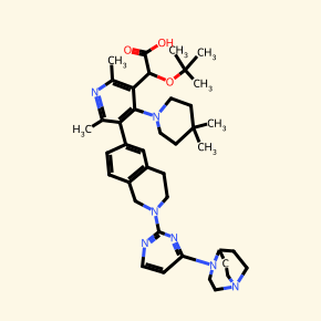 Cc1nc(C)c(C(OC(C)(C)C)C(=O)O)c(N2CCC(C)(C)CC2)c1-c1ccc2c(c1)CCN(c1nccc(N3CCN4CCC3CC4)n1)C2